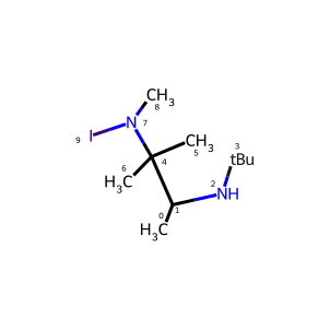 CC(NC(C)(C)C)C(C)(C)N(C)I